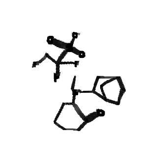 C[S+](C1CCCCC1=O)C1CC2CCC1C2.O=S(=O)([O-])C(F)(F)CF